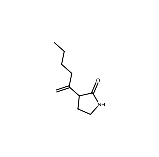 C=C(CCCC)C1CCNC1=O